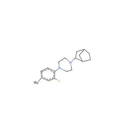 CC(C)(C)c1ccc(N2CCN(C3CC4CCC3C4)CC2)c(F)c1